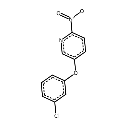 O=[N+]([O-])c1ccc(Oc2cccc(Cl)c2)cn1